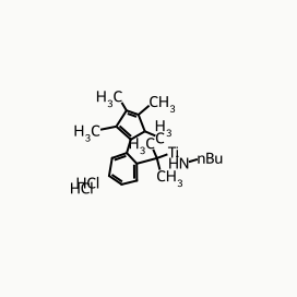 CCCC[NH][Ti][C](C)(C)c1ccccc1C1=C(C)C(C)=C(C)C1C.Cl.Cl